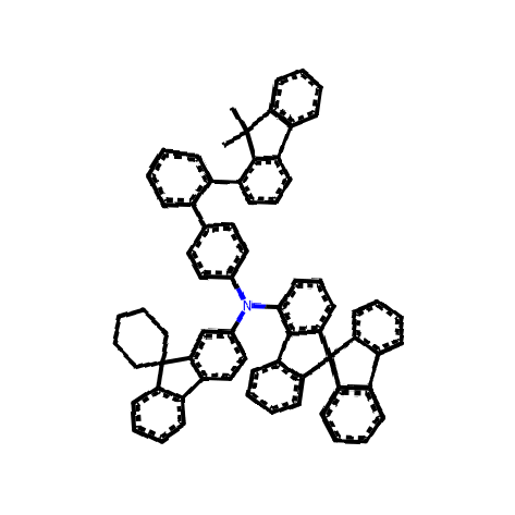 CC1(C)c2ccccc2-c2cccc(-c3ccccc3-c3ccc(N(c4ccc5c(c4)C4(CCCCC4)c4ccccc4-5)c4cccc5c4-c4ccccc4C54c5ccccc5-c5ccccc54)cc3)c21